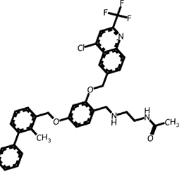 CC(=O)NCCNCc1ccc(OCc2cccc(-c3ccccc3)c2C)cc1OCc1ccc2nc(C(F)(F)F)cc(Cl)c2c1